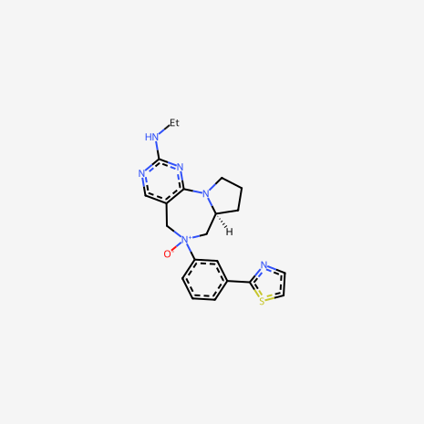 CCNc1ncc2c(n1)N1CCC[C@H]1C[N+]([O-])(c1cccc(-c3nccs3)c1)C2